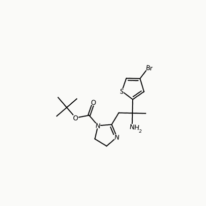 CC(C)(C)OC(=O)N1CCN=C1CC(C)(N)c1cc(Br)cs1